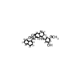 COc1cc(O)cc(Nc2ccnc3ccc(N=S(C)(=O)c4cccc5ccccc45)cc23)c1